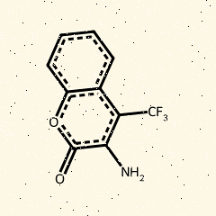 Nc1c(C(F)(F)F)c2ccccc2oc1=O